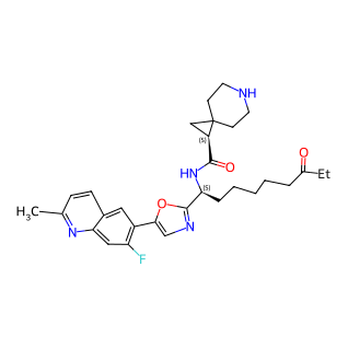 CCC(=O)CCCCC[C@H](NC(=O)[C@H]1CC12CCNCC2)c1ncc(-c2cc3ccc(C)nc3cc2F)o1